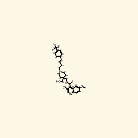 COc1ccc2ncc(Cl)c([C@H](F)CCC3(CO)CCN(CCCSc4ccc(C(F)(F)F)cc4)CC3)c2c1